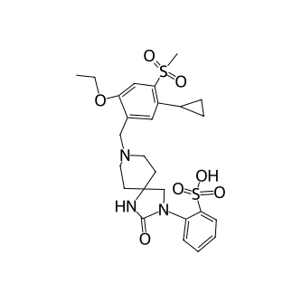 CCOc1cc(S(C)(=O)=O)c(C2CC2)cc1CN1CCC2(CC1)CN(c1ccccc1S(=O)(=O)O)C(=O)N2